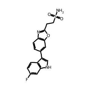 NS(=O)(=O)CCc1nc2ccc(-c3c[nH]c4cc(F)ccc34)cc2o1